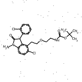 CC(C)(C)OC(=O)NCCOCCc1c(Cl)ccc2c1C(c1ccccc1Cl)C(=O)N2N